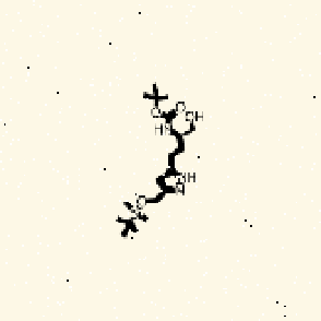 CC(C)(C)OC(=O)N[C@@H](CO)CCc1cc(CO[Si](C)(C)C(C)(C)C)n[nH]1